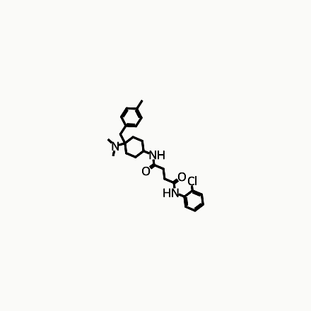 Cc1ccc(CC2(N(C)C)CCC(NC(=O)CCC(=O)Nc3ccccc3Cl)CC2)cc1